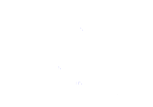 c1ccc2[nH]c(CC[C](Cc3cc4ccccc4[nH]3)c3nccc4ccccc34)cc2c1